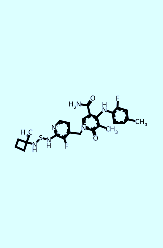 Cc1ccc(Nc2c(C(N)=O)cn(Cc3ccnc(NSNC4(C)CCC4)c3F)c(=O)c2C)c(F)c1